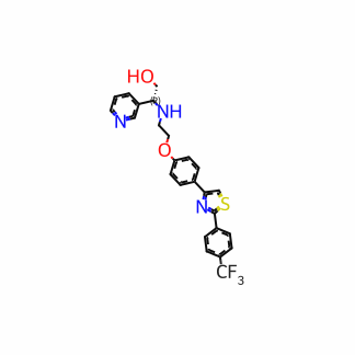 OC[C@H](NCCOc1ccc(-c2csc(-c3ccc(C(F)(F)F)cc3)n2)cc1)c1cccnc1